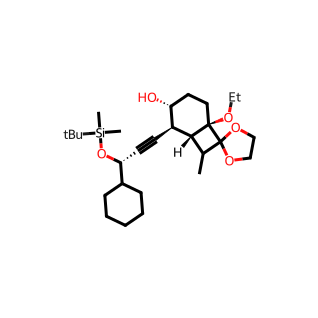 CCO[C@]12CC[C@@H](O)[C@H](C#C[C@@H](O[Si](C)(C)C(C)(C)C)C3CCCCC3)[C@H]1C(C)C21OCCO1